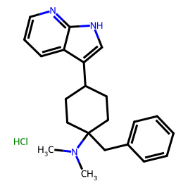 CN(C)C1(Cc2ccccc2)CCC(c2c[nH]c3ncccc23)CC1.Cl